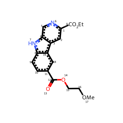 CCOC(=O)c1cc2c(cn1)[nH]c1ccc(C(=O)OCCOC)cc12